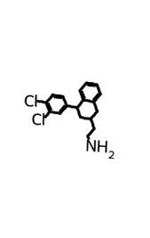 NCCC1Cc2ccccc2C(c2ccc(Cl)c(Cl)c2)C1